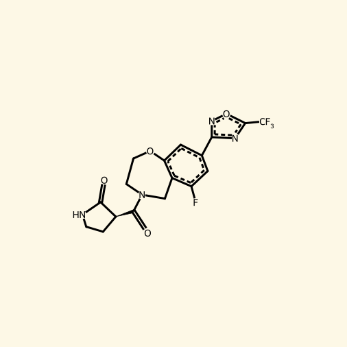 O=C1NCC[C@@H]1C(=O)N1CCOc2cc(-c3noc(C(F)(F)F)n3)cc(F)c2C1